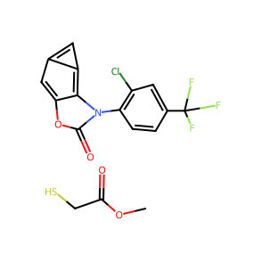 COC(=O)CS.O=c1oc2cc3cc-3c2n1-c1ccc(C(F)(F)F)cc1Cl